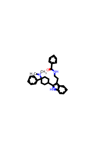 CN(C)C1(c2ccccc2)CCC(c2[nH]c3ccccc3c2CCNC(=O)c2ccccc2)CC1